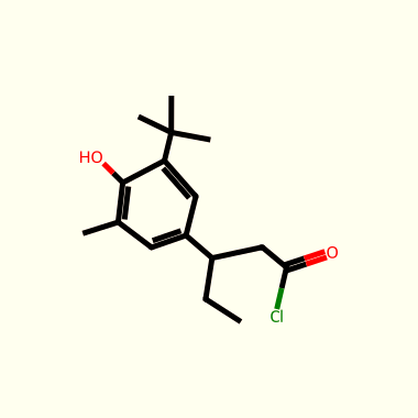 CCC(CC(=O)Cl)c1cc(C)c(O)c(C(C)(C)C)c1